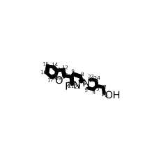 OCCC1CCN(c2ccc(-c3cc4ccccc4o3)c(F)n2)CC1